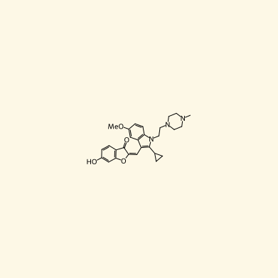 COc1ccc2c(c1)c(C=C1Oc3cc(O)ccc3C1=O)c(C1CC1)n2CCN1CCN(C)CC1